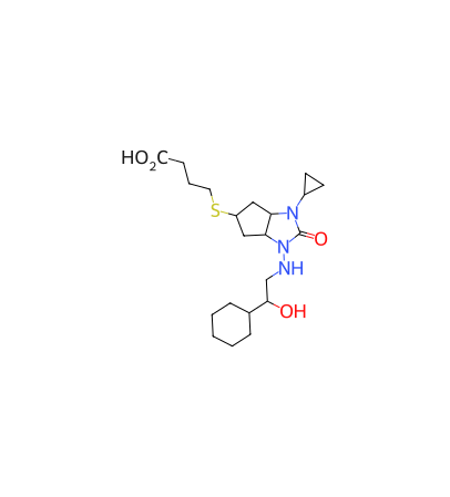 O=C(O)CCCSC1CC2C(C1)N(C1CC1)C(=O)N2NCC(O)C1CCCCC1